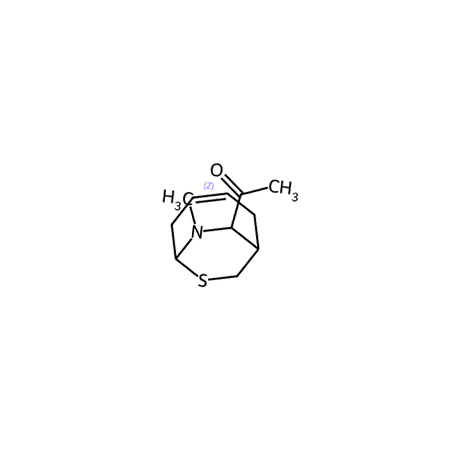 CC(=O)C1C2C/C=C\CC(SC2)N1C